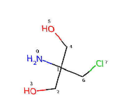 NC(CO)(CO)CCl